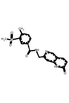 Cc1ccc(C(=O)NCc2cc3[nH]c(=O)ccc3cn2)cc1S(C)(=O)=O